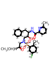 Cc1cccc(C(=O)NC(Cc2ccccc2)C(O)CN(CC(=O)N(C)O)S(=O)(=O)c2cc(F)ccc2C)n1